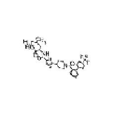 CC(C)CC(NC(=O)c1csc(C2CCN(C(=O)c3ccccc3-c3ccc(C(F)(F)F)cc3)CC2)n1)C(=O)O